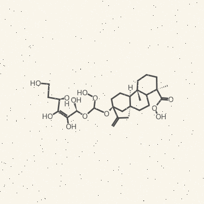 C=C1C[C@@]23CCC4[C@](C)(C(=O)OO)CCC[C@@]4(C)[C@@H]2CC[C@]1(OC(OO)O[C@H](O)/C(O)=C(/O)[C@H](O)CCO)C3